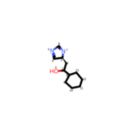 OC(C[C@H]1C=NC=N1)C1CCCCC1